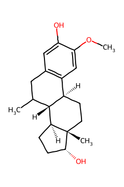 COc1cc2c(cc1O)CC(C)[C@@H]1[C@@H]2CC[C@]2(C)[C@H](O)CC[C@@H]12